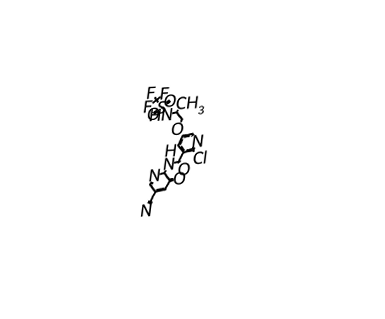 C[C@@H](COc1cnc(Cl)c(C(=O)NC2N=CC(C#N)=CC2=O)c1)NS(=O)(=O)C(F)(F)F